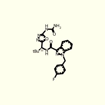 CC(C)(C)[C@H](NC(=O)c1nn(Cc2ccc(F)cc2)c2ccccc12)c1nnc(NC(N)=O)o1